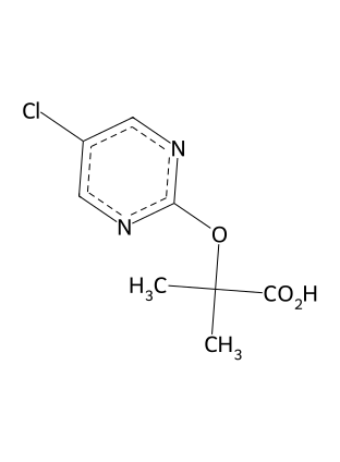 CC(C)(Oc1ncc(Cl)cn1)C(=O)O